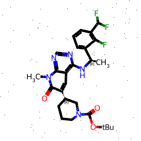 C[C@@H](Nc1ncnc2c1cc([C@H]1CCCN(C(=O)OC(C)(C)C)C1)c(=O)n2C)c1cccc(C(F)F)c1F